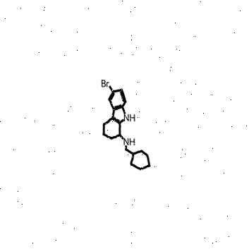 Brc1ccc2[nH]c3c(c2c1)CCCC3NCC1CCCCC1